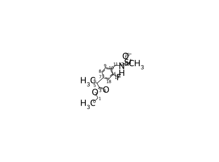 CCOC(=O)C(C)c1ccc(CN[S+](C)[O-])c(F)c1